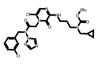 CC(C)(C)OC(=O)N(CCCNc1ncc(Cl)n(CC(=O)N(Cc2cccc(Cl)c2)n2cncn2)c1=O)CC1CC1